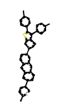 Cc1ccc(-c2ccc3cc4cc(-c5ccc6c(-c7ccc(C)cc7)c(-c7ccc(C)cc7)sc6c5)ccc4cc3c2)cc1